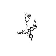 COCC(C)(C)c1c(CCCC2CCS(=O)(=O)CC2)c2cc3[nH]ncc3cc2n1-c1ccc(F)cc1